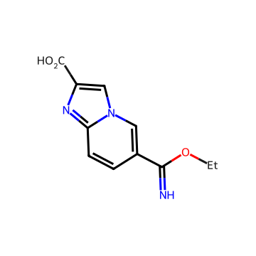 CCOC(=N)c1ccc2nc(C(=O)O)cn2c1